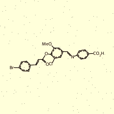 COc1cc(/C=N/c2ccc(C(=O)O)cc2)cc(Cl)c1OC(=O)/C=C/c1ccc(Br)cc1